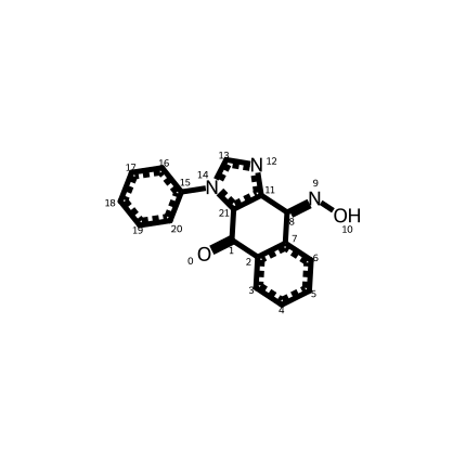 O=C1c2ccccc2/C(=N\O)c2ncn(-c3ccccc3)c21